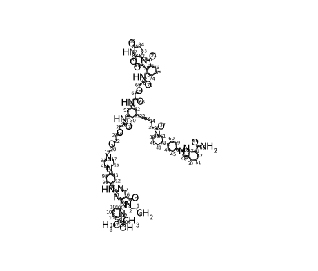 C=CCn1c(=O)c2cnc(Nc3ccc(N4CCN(CCOCCOCC(=O)Nc5cc(C#CCCC(=O)N6CCC[C@@H](c7ccc(-n8cc9cccc(C(N)=O)c9n8)cc7)C6)cc(NC(=O)COCC(=O)Nc6cccc7c6C(=O)N(C6CCC(=O)NC6=O)C7=O)c5)CC4)cc3)nc2n1-c1cccc(C(C)(C)O)n1